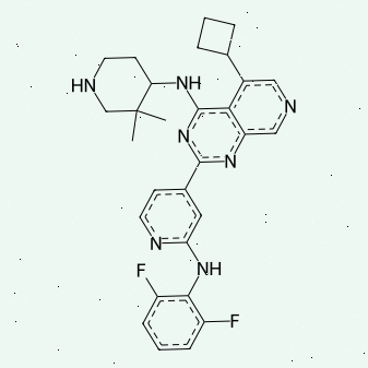 CC1(C)CNCCC1Nc1nc(-c2ccnc(Nc3c(F)cccc3F)c2)nc2cncc(C3CCC3)c12